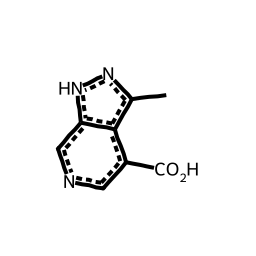 Cc1n[nH]c2cncc(C(=O)O)c12